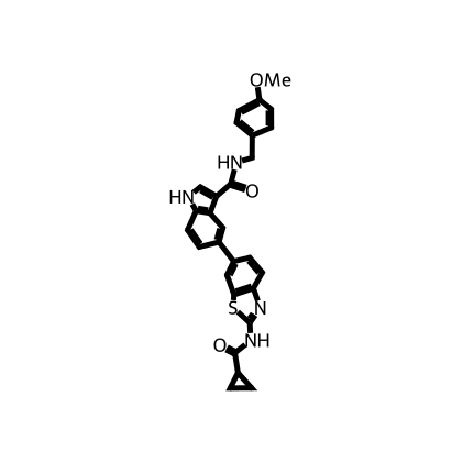 COc1ccc(CNC(=O)c2c[nH]c3ccc(-c4ccc5nc(NC(=O)C6CC6)sc5c4)cc23)cc1